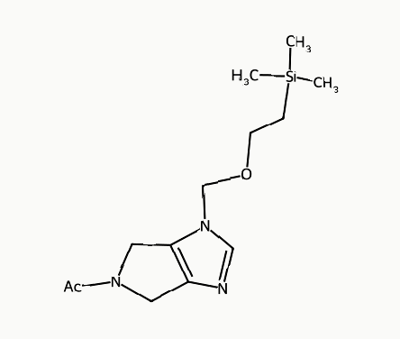 CC(=O)N1Cc2ncn(COCC[Si](C)(C)C)c2C1